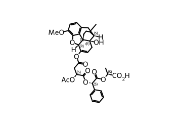 COc1ccc2c3c1O[C@H]1C(OC(=O)C[C@H](OC(C)=O)C(=O)O[C@H](C(=O)O[C@@H](C)C(=O)O)c4ccccc4)=CC[C@@]4(O)[C@@H](C2)C(C)CC[C@]314